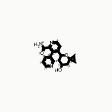 NC(=O)c1nccc(C2CC(O)CC3(CC3)O2)c1-c1cccnc1